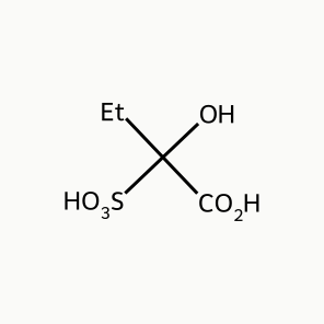 [CH2]CC(O)(C(=O)O)S(=O)(=O)O